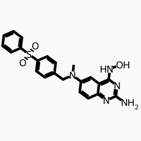 CN(Cc1ccc(S(=O)(=O)c2ccccc2)cc1)c1ccc2nc(N)nc(NO)c2c1